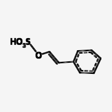 O=S(=O)(O)OC=Cc1ccccc1